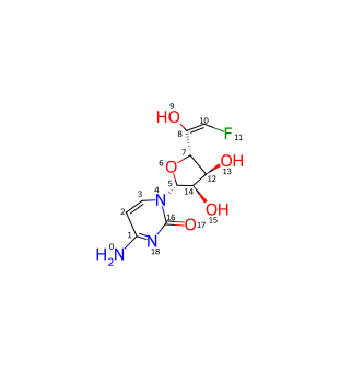 Nc1ccn([C@@H]2O[C@H](/C(O)=C\F)[C@@H](O)[C@H]2O)c(=O)n1